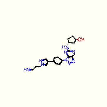 N=CCCn1cc(-c2ccc(-n3nnc4cnc(N[C@@H]5CC[C@@H](O)C5)nc43)cc2)cn1